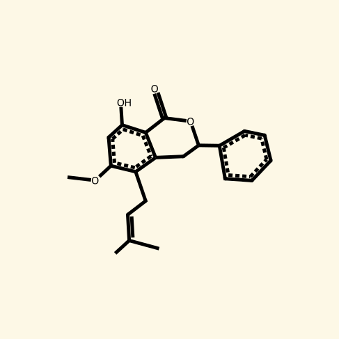 COc1cc(O)c2c(c1CC=C(C)C)CC(c1ccccc1)OC2=O